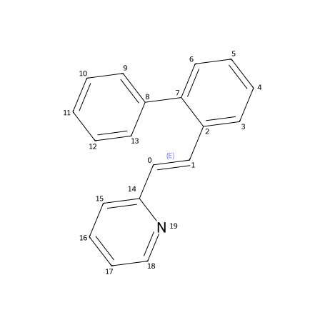 C(=C\c1ccccc1-c1ccccc1)/c1ccccn1